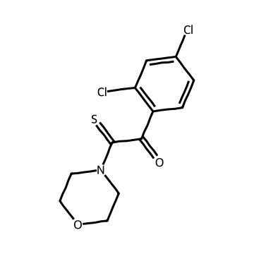 O=C(C(=S)N1CCOCC1)c1ccc(Cl)cc1Cl